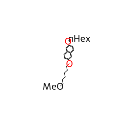 CCCCCCOc1ccc2cc(OCCCCCCOC)ccc2c1